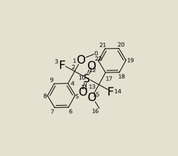 COC(F)(c1ccccc1)S(=O)(=O)C(F)(OC)c1ccccc1